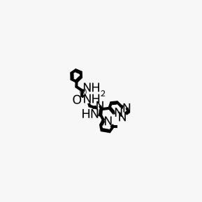 Cc1cccc(-c2[nH]c(CNC(=O)[C@H](N)Cc3ccccc3)nc2-c2ccc3ncnn3c2)n1